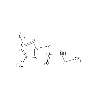 O=C([CH]c1cc(C(F)(F)F)cc(C(F)(F)F)c1)NCC(F)(F)F